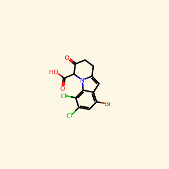 O=C(O)C1C(=O)CCc2cc3c(Br)cc(Cl)c(Cl)c3n21